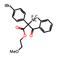 [C-]#[N+]C(C(=O)OCCOC)(C(=O)c1ccccc1C(F)(F)F)c1ccc(C(C)(C)C)cc1